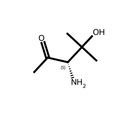 CC(=O)[C@@H](N)C(C)(C)O